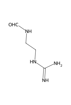 N=C(N)NCCNC=O